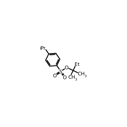 CCC(C)(C)OS(=O)(=O)c1ccc(C(C)C)cc1